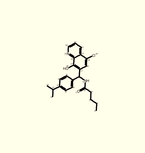 CCCCC(=O)NC(c1ccc(C(C)C)cc1)c1cc(Cl)c2cccnc2c1O